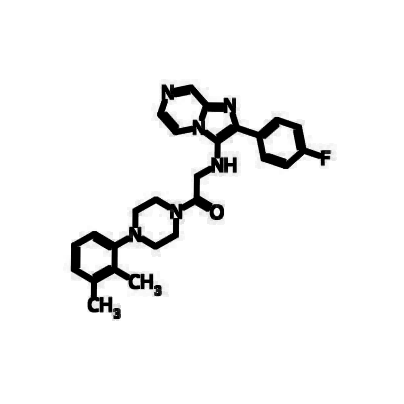 Cc1cccc(N2CCN(C(=O)CNc3c(-c4ccc(F)cc4)nc4cnccn34)CC2)c1C